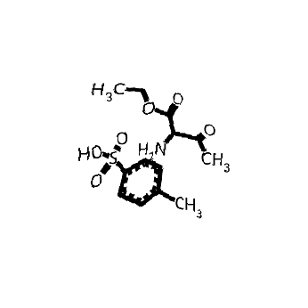 CCOC(=O)C(N)C(C)=O.Cc1ccc(S(=O)(=O)O)cc1